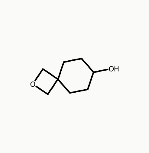 OC1CCC2(CC1)COC2